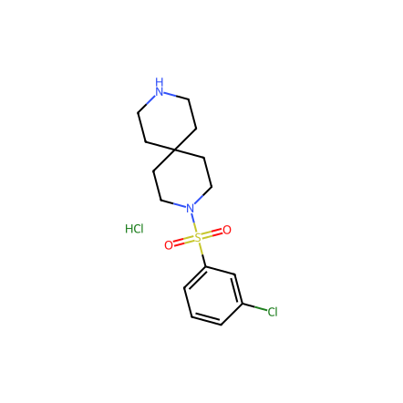 Cl.O=S(=O)(c1cccc(Cl)c1)N1CCC2(CCNCC2)CC1